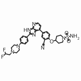 N#Cc1cc(-c2ccnc3[nH]c(-c4ccc(N5CCN(CC(F)F)CC5)cc4)nc23)ccc1OC1CCN(S(N)(=O)=O)CC1